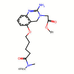 CCCCCCN(C)C(=O)CCCCOc1cccc2c1CN(CC(=O)OC(C)C)C(N)=N2